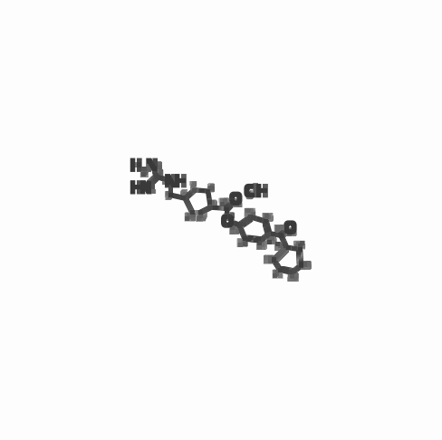 Cl.N=C(N)NCC1CCC(C(=O)Oc2ccc(C(=O)c3ccccc3)cc2)CC1